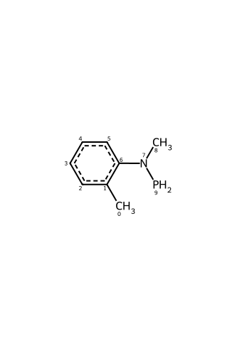 Cc1ccccc1N(C)P